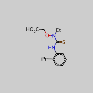 CCN(OCC(=O)O)C(=S)Nc1ccccc1C(C)C